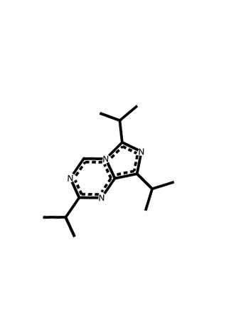 CC(C)c1ncn2c(C(C)C)nc(C(C)C)c2n1